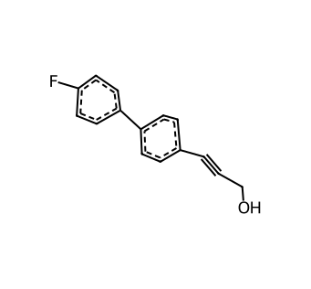 OCC#Cc1ccc(-c2ccc(F)cc2)cc1